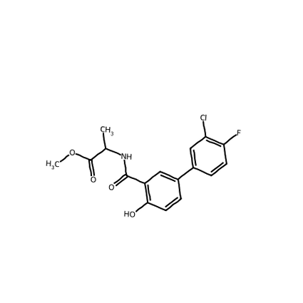 COC(=O)C(C)NC(=O)c1cc(-c2ccc(F)c(Cl)c2)ccc1O